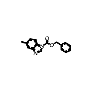 Cc1ccc2c(c1)ncn2C(=O)OCc1ccccc1